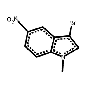 Cn1cc(Br)c2cc([N+](=O)[O-])ccc21